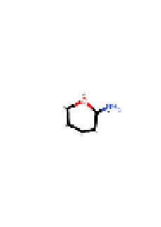 NC1CCC[CH]O1